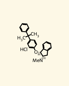 CN[C@H]1Cc2ccccc2[C@H]1Oc1ccc(C(C)(C)c2ccccc2)cc1.Cl